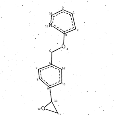 c1ccc(OCc2ccc(C3CO3)cc2)nc1